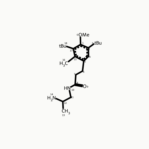 COc1c(C(C)(C)C)cc(CCC(=O)NCC(C)N)c(C)c1C(C)(C)C